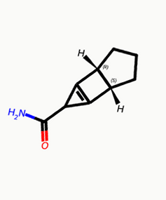 NC(=O)C1C2=C1[C@@H]1CCC[C@H]21